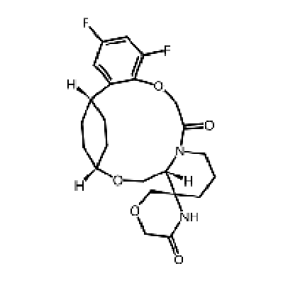 O=C1COC[C@@]2(CCCN3C(=O)COc4c(F)cc(F)cc4[C@H]4CC[C@H](CC4)OC[C@H]32)N1